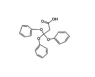 O=C(O)CC(Oc1ccccc1)(Oc1ccccc1)Oc1ccccc1